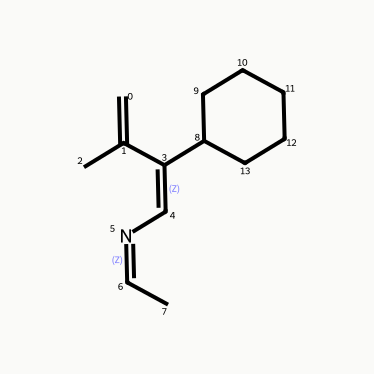 C=C(C)/C(=C\N=C/C)C1CCCCC1